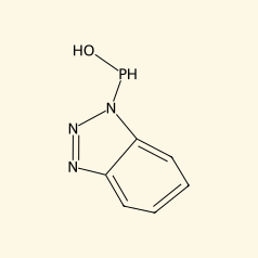 OPn1nnc2ccccc21